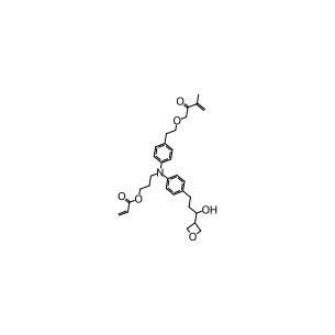 C=CC(=O)OCCCN(c1ccc(CCOCC(=O)C(=C)C)cc1)c1ccc(CCC(O)C2COC2)cc1